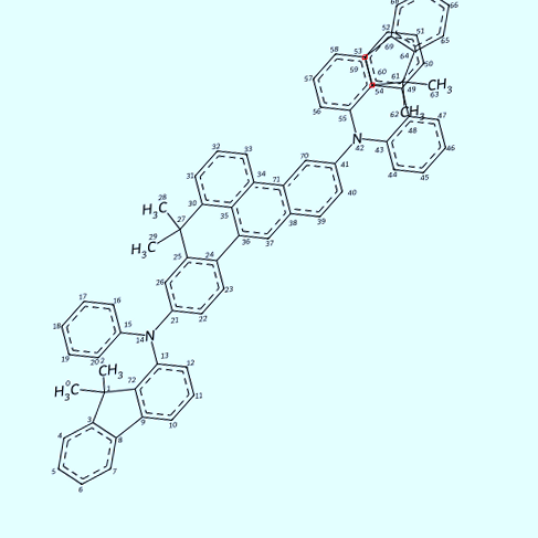 CC1(C)c2ccccc2-c2cccc(N(c3ccccc3)c3ccc4c(c3)C(C)(C)c3cccc5c3c-4cc3ccc(N(c4ccccc4-c4ccccc4)c4cccc6c4C(C)(C)c4ccccc4-6)cc35)c21